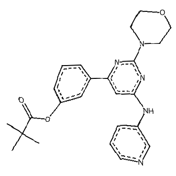 CC(C)(C)C(=O)Oc1cccc(-c2cc(Nc3cccnc3)nc(N3CCOCC3)n2)c1